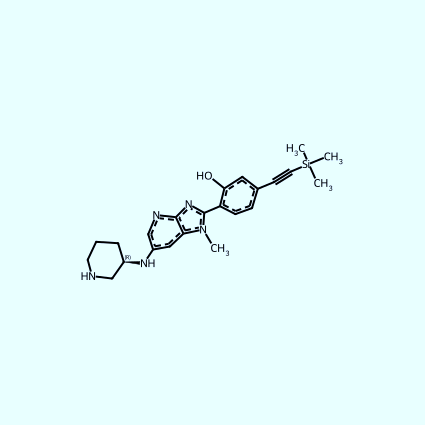 Cn1c(-c2ccc(C#C[Si](C)(C)C)cc2O)nc2ncc(N[C@@H]3CCCNC3)cc21